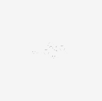 COc1ccc(CN(c2nccs2)S(=O)(=O)c2ccc3c(c2)OCCC3)c(OC)c1